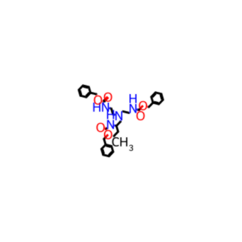 CCCC(CN(CCNC(=O)OCc1ccccc1)CCNC(=O)OCc1ccccc1)NC(=O)OCc1ccccc1